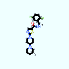 C[C@@H]1CCCN(C2CCN(c3ncc(C(=O)N[C@@H](C)c4cc(F)ccc4F)s3)CC2)C1